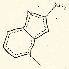 [CH2]n1cccc2nc(N)cc1-2